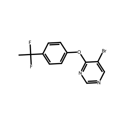 CC(F)(F)c1ccc(Oc2ncncc2Br)cc1